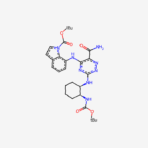 CC(C)(C)OC(=O)N[C@H]1CCCC[C@H]1Nc1nnc(C(N)=O)c(Nc2cccc3ccn(C(=O)OC(C)(C)C)c23)n1